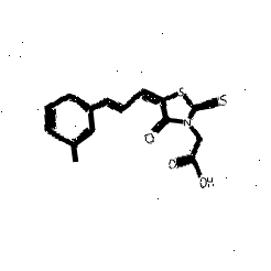 Cc1cccc(C=CC=C2SC(=S)N(CC(=O)O)C2=O)c1